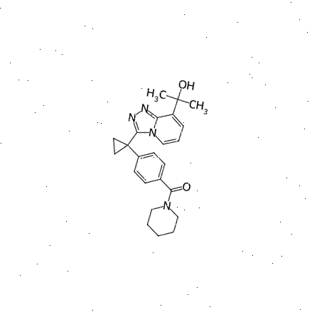 CC(C)(O)c1cccn2c(C3(c4ccc(C(=O)N5CCCCC5)cc4)CC3)nnc12